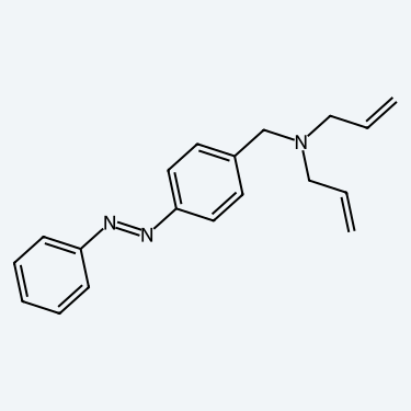 C=CCN(CC=C)Cc1ccc(N=Nc2ccccc2)cc1